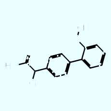 CSc1ccccc1-c1ccc(C(Cl)C(=O)O)cc1